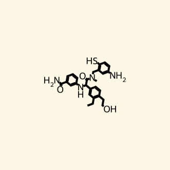 CCc1cc(C(Nc2cccc(C(N)=O)c2)C(=O)N(C)Cc2cc(N)ccc2S)ccc1CCO